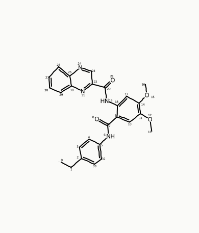 [CH2]Cc1ccc(NC(=O)c2cc(OC)c(OC)cc2NC(=O)c2cnc3ccccc3n2)cc1